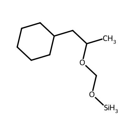 CC(CC1CCCCC1)OCO[SiH3]